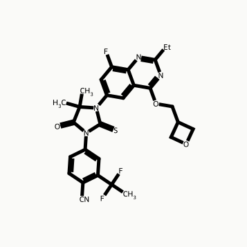 CCc1nc(OCC2COC2)c2cc(N3C(=S)N(c4ccc(C#N)c(C(C)(F)F)c4)C(=O)C3(C)C)cc(F)c2n1